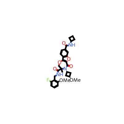 COc1cccc(F)c1CNC(=O)C1(C)COc2c(oc3cc(C(=O)NC4CCC4)ccc23)C(=O)N1[C@H]1C[C@@H](OC)C1